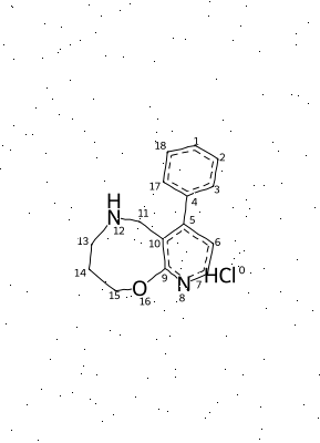 Cl.c1ccc(-c2ccnc3c2CNCCCO3)cc1